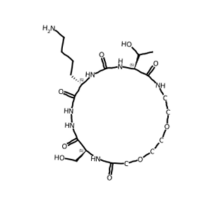 CC(O)[C@@H]1NC(=O)N[C@@H](CCCCN)C(=O)NNC(=O)[C@H](CO)NC(=O)COCCOCCNC1=O